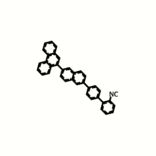 [C-]#[N+]c1ccccc1-c1ccc(-c2ccc3cc(-c4cc5ccccc5c5ccccc45)ccc3c2)cc1